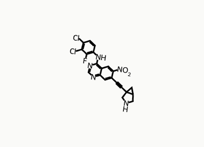 O=[N+]([O-])c1cc2c(Nc3ccc(Cl)c(Cl)c3F)ncnc2cc1C#CC12CNCC1C2